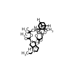 CCN1CC[C@@]2(CCCB3O[C@@H]4C[C@@H]5C[C@@H](C5(C)C)[C@]4(C)O3)[C@@H]1CN(C(=O)OC(C)(C)C)[C@@H]2C(=O)OC